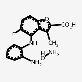 Cc1c(C(=O)O)oc2ccc(F)c(Nc3ccccc3N)c12.NO